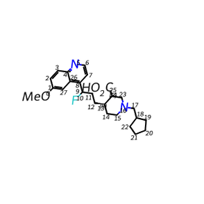 COc1ccc2nccc(C(F)CC[C@@H]3CCN(CC4CCCC4)C[C@@H]3C(=O)O)c2c1